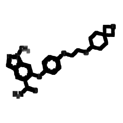 Cn1ncc2cc(C(N)=O)c(Oc3ccc(OCCOC4CCC5(CC4)COC5)cc3)cc21